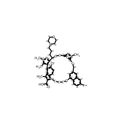 Cc1c(C(=O)O)n2c3ccc(Cl)c(c13)-c1c(nn(C)c1C)C(CCCN1CCOCC1)OCc1cc(n(C)n1)CCc1cc(c3ccc(F)cc3c1)OCCC2